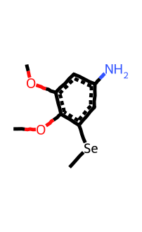 COc1cc(N)cc([Se]C)c1OC